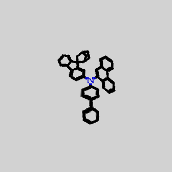 c1ccc(-c2ccc(N(c3ccc4c(c3)C3(CC5CCC3C5)c3ccccc3-4)c3cc4ccccc4c4ccccc34)cc2)cc1